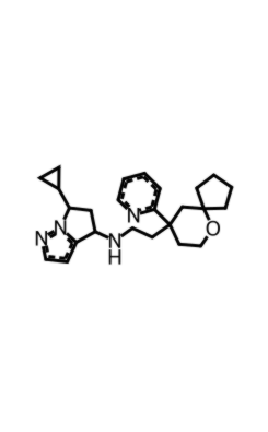 c1ccc(C2(CCNC3CC(C4CC4)n4nccc43)CCOC3(CCCC3)C2)nc1